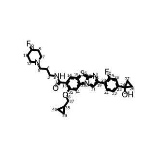 O=C(NCCCN1CCC(F)CC1)c1cc2sc3nc(-c4ccc(C5(O)CC5)cc4F)cn3c2cc1OCC1CC1